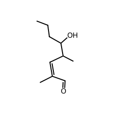 CCCC(O)C(C)C=C(C)C=O